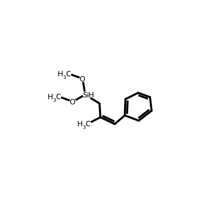 CO[SiH](CC(C)=Cc1ccccc1)OC